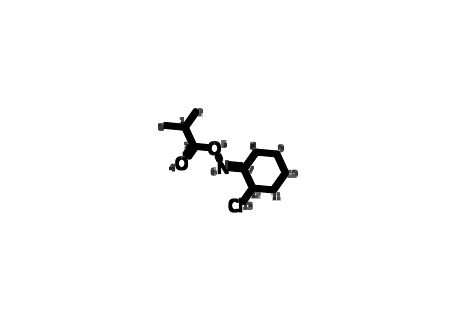 CC(C)C(=O)ON=C1CCCCC1Cl